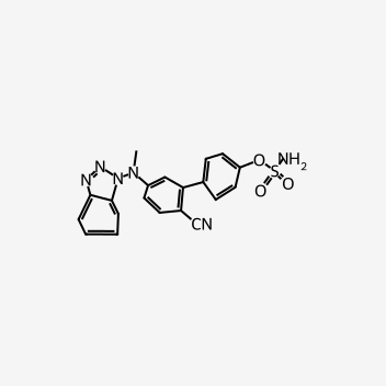 CN(c1ccc(C#N)c(-c2ccc(OS(N)(=O)=O)cc2)c1)n1nnc2ccccc21